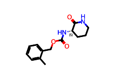 Cc1ccccc1COC(=O)N[C@H]1CCCNC1=O